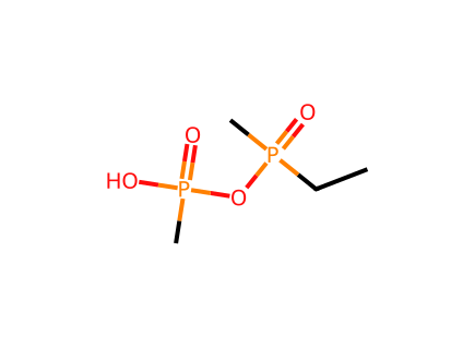 CCP(C)(=O)OP(C)(=O)O